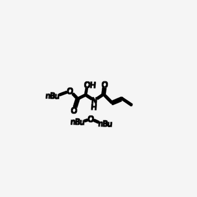 CC=CC(=O)NC(O)C(=O)OCCCC.CCCCOCCCC